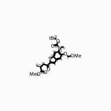 COCOc1cc2cc(C(=O)C[C@H](C)C(=O)OC)sc2cc1N(C)C(=O)OC(C)(C)C